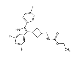 CCOC(=O)NCC1CC(c2c(-c3ccc(F)cc3)[nH]c3c(F)cc(F)cc23)C1